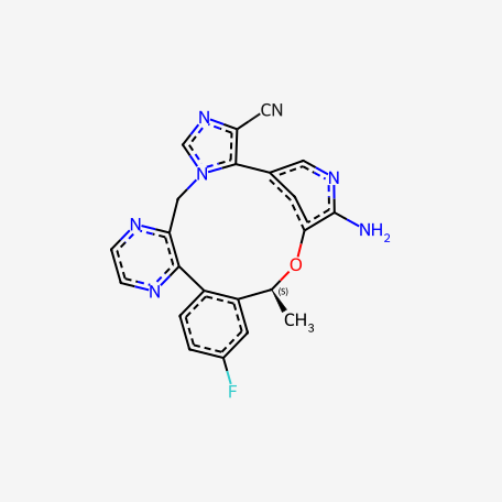 C[C@@H]1Oc2cc(cnc2N)-c2c(C#N)ncn2Cc2nccnc2-c2ccc(F)cc21